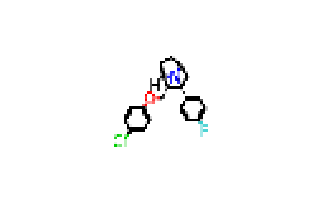 CN1C2CC[C@@H]1[C@H](COc1ccc(Cl)cc1)[C@@H](c1ccc(F)cc1)C2